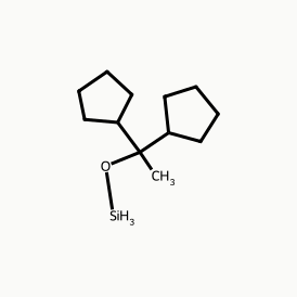 CC(O[SiH3])(C1CCCC1)C1CCCC1